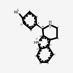 N#Cc1ccc([C@H]2NCCc3c2[nH]c2ccccc32)cc1